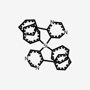 c1ccc([Si](c2ccccc2)(c2cncnc2-c2cccnc2)c2cncnc2-c2cccnc2)cc1